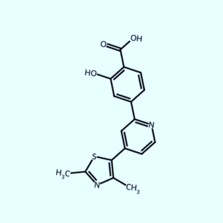 Cc1nc(C)c(-c2ccnc(-c3ccc(C(=O)O)c(O)c3)c2)s1